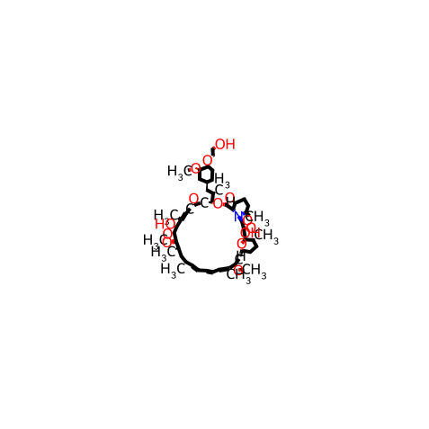 CO[C@H]1C[C@@H]2CC[C@@H](C)[C@@](O)(O2)C(=O)C(=O)N2C(C)CCC[C@H]2C(=O)O[C@H]([C@H](C)C[C@@H]2CC[C@@H](OCCO)[C@H](OC)C2)CC(=O)C/C=C(\C)[C@@H](O)[C@@H](OC)C(=O)[C@H](C)C[C@H](C)/C=C/C=C/C=C/1C